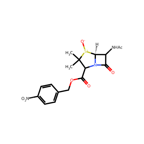 CC(=O)NC1C(=O)N2C(C(=O)OCc3ccc([N+](=O)[O-])cc3)C(C)(C)[S+]([O-])[C@@H]12